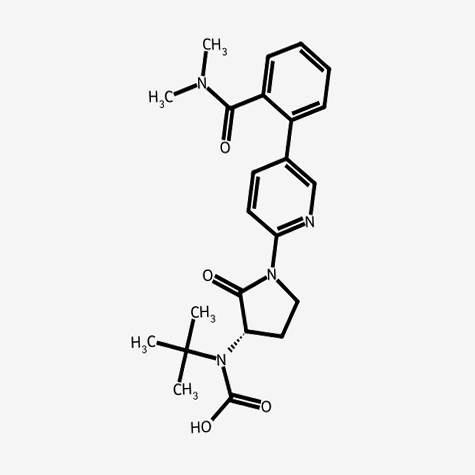 CN(C)C(=O)c1ccccc1-c1ccc(N2CC[C@H](N(C(=O)O)C(C)(C)C)C2=O)nc1